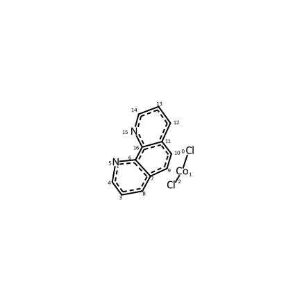 [Cl][Co][Cl].c1cnc2c(c1)ccc1cccnc12